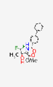 COC(=O)[C@@H](NC(=O)c1ccc(-c2ccccc2)cc1)C(C)(O)C(F)F